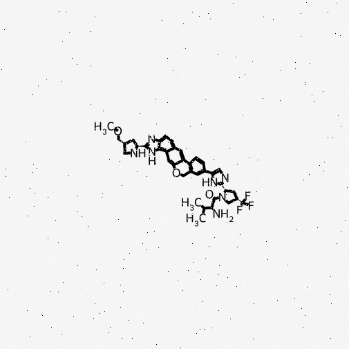 COC[C@@H]1CN[C@H](c2nc3ccc4cc5c(cc4c3[nH]2)OCc2cc(-c3cnc([C@@H]4C[C@H](C(F)(F)F)CN4C(=O)[C@@H](N)C(C)C)[nH]3)ccc2-5)C1